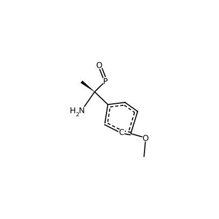 COc1ccc([C@](C)(N)P=O)cc1